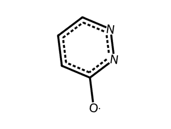 [O]c1cccnn1